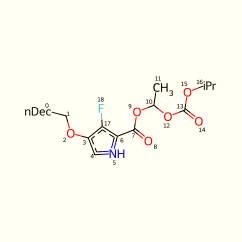 CCCCCCCCCCCOc1c[nH]c(C(=O)OC(C)OC(=O)OC(C)C)c1F